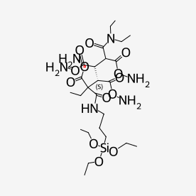 CCO[Si](CCCNC(=O)C(CC)(C(=O)ON)[C@@H](C(=O)ON)C(C(=O)ON)C(C(=O)ON)C(=O)N(CC)CC)(OCC)OCC